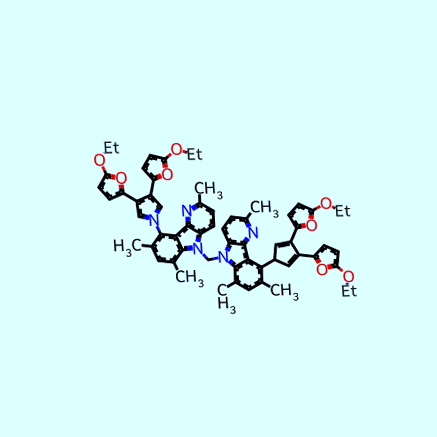 CCOc1ccc(C2=CC(c3c(C)cc(C)c4c3c3nc(C)ccc3n4Cn3c4ccc(C)nc4c4c(-n5cc(-c6ccc(OCC)o6)c(-c6ccc(OCC)o6)c5)c(C)cc(C)c43)C=C2c2ccc(OCC)o2)o1